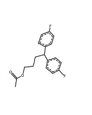 CC(=O)OCCCC(c1ccc(F)cc1)c1ccc(F)cc1